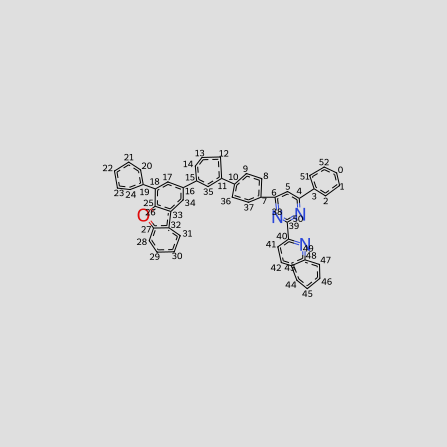 c1ccc(-c2cc(-c3ccc(-c4cccc(-c5cc(-c6ccccc6)c6oc7ccccc7c6c5)c4)cc3)nc(-c3ccc4ccccc4n3)n2)cc1